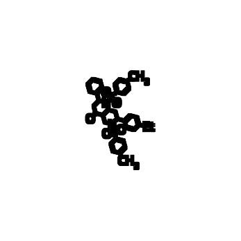 CCc1ccc(C2CC3C(CN2S(=O)(=O)c2ccc(C)cc2)C(=O)CC(c2ccccc2)N3S(=O)(=O)c2ccc(C)cc2)cc1